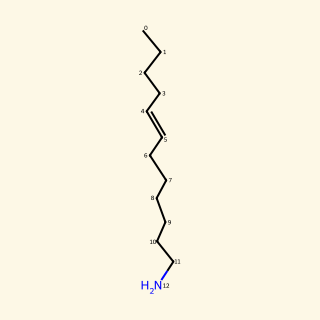 CCCCC=CCCCCCCN